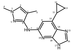 Cc1cn(C)nc1Nc1cc(C2CC2)c2nc[nH]c2n1